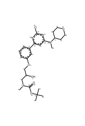 CN(CC(O)COc1cccc(-c2cc(N(C)C3CCOCC3)nc(Cl)n2)c1)C(=O)OC(C)(C)C